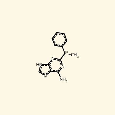 C[C@@H](c1ccccc1)c1nc(N)c2nc[nH]c2n1